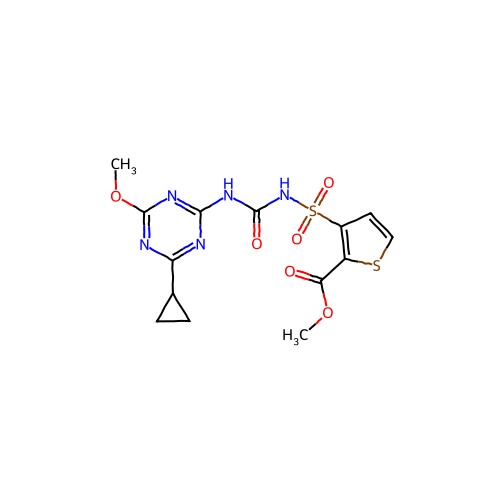 COC(=O)c1sccc1S(=O)(=O)NC(=O)Nc1nc(OC)nc(C2CC2)n1